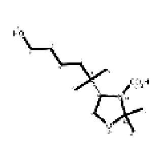 CC(C)(CCCCO)[C@H]1COC(C)(C)N1C(=O)O